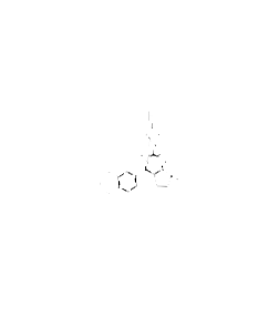 FC1CN(c2nc(-c3ccc4c(c3)COCC4)c3c(n2)C(F)(F)CC3)C1